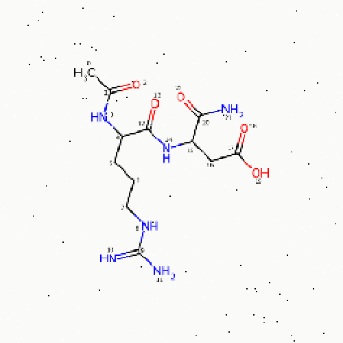 CC(=O)NC(CCCNC(=N)N)C(=O)NC(CC(=O)O)C(N)=O